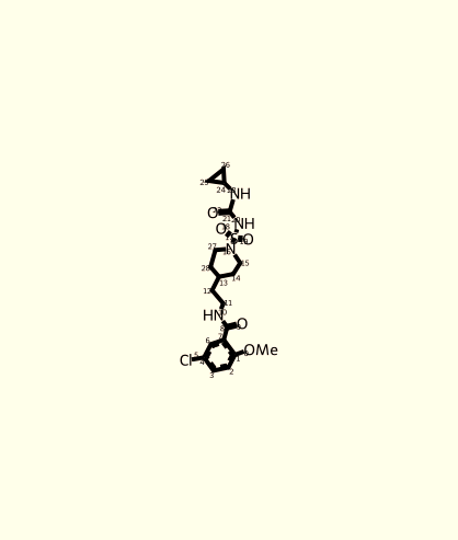 COc1ccc(Cl)cc1C(=O)NCCC1CCN(S(=O)(=O)NC(=O)NC2CC2)CC1